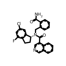 NC(=O)c1ccccc1CN(C(=O)c1cncc2ccccc12)[C@@H]1CCc2c(F)cc(Cl)cc21